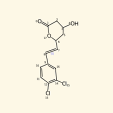 O=C1CC(O)CC(/C=C/c2ccc(Cl)c(Cl)c2)O1